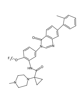 Cc1ccccc1-c1ccc2c(=O)n(-c3ccc(OC(F)(F)F)c(NC(=O)C4(N5CCN(C)CC5)CC4)c3)cnc2c1